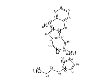 N#Cc1ccccc1Cn1ncc2cnc(Nc3ccn(CCCO)n3)cc21